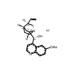 C=C[C@H]1C[N@]2CC[C@H]1C[C@H]2[C@H](O)c1ccnc2ccc(OC)cc12.[H+]